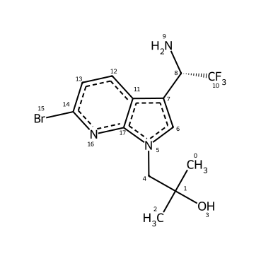 CC(C)(O)Cn1cc([C@H](N)C(F)(F)F)c2ccc(Br)nc21